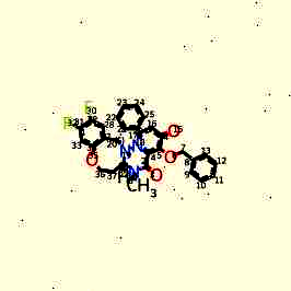 CN1C(=O)c2c(OCc3ccccc3)c(=O)ccn2N2[C@@H](c3ccccc3)c3cc(F)c(F)cc3OCC[C@H]12